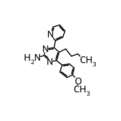 CCCCc1c(-c2ccc(OC)cc2)nc(N)nc1-c1ccccn1